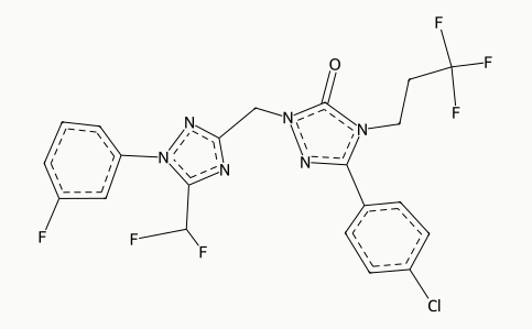 O=c1n(Cc2nc(C(F)F)n(-c3cccc(F)c3)n2)nc(-c2ccc(Cl)cc2)n1CCC(F)(F)F